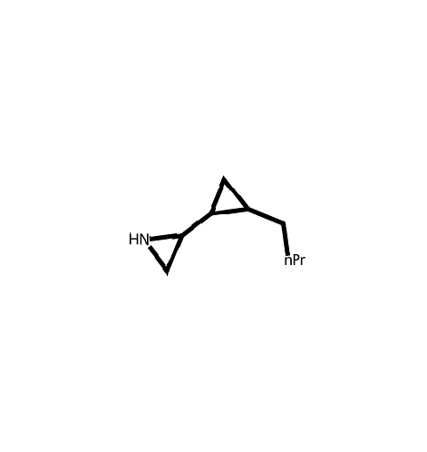 CCCCC1CC1C1CN1